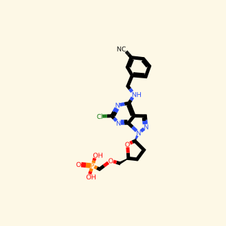 N#Cc1cccc(CNc2nc(Cl)nc3c2cnn3[C@H]2CC[C@@H](COCP(=O)(O)O)O2)c1